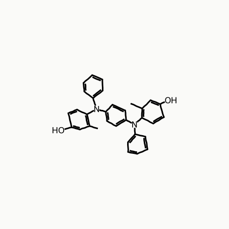 Cc1cc(O)ccc1N(c1ccccc1)c1ccc(N(c2ccccc2)c2ccc(O)cc2C)cc1